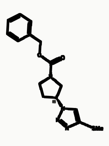 CSc1cn([C@H]2CCN(C(=O)OCc3ccccc3)C2)nn1